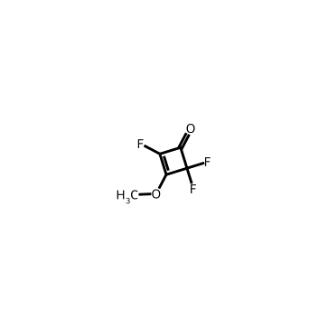 COC1=C(F)C(=O)C1(F)F